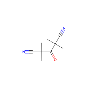 CC(C)(C#N)C(=O)C(C)(C)C#N